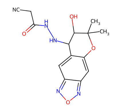 CC1(C)Oc2cc3nonc3cc2C(NNC(=O)CC#N)C1O